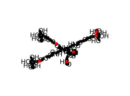 CC(=O)NCCCC[C@H](NC(=O)[C@H](CCCCNC(=O)COCCOCCOCCO[C@@H]1O[C@H](CO)[C@H](O)[C@H](O)[C@H]1NC(C)=O)CC(=O)[C@H](CCCCNC(=O)COCCOCCOCCO[C@@H]1O[C@H](CO)[C@H](O)[C@H](O)[C@H]1NC(C)=O)NC(=O)COCCOCCOCCO[C@@H]1O[C@H](CO)[C@H](O)[C@H](O)[C@H]1NC(C)=O)C(=O)ON1C(=O)CCC1=O